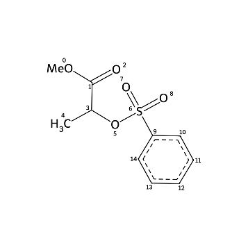 COC(=O)C(C)OS(=O)(=O)c1ccccc1